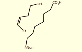 CC/C=C\CCO.CCCCCCCCCCCCCCCC(=O)O